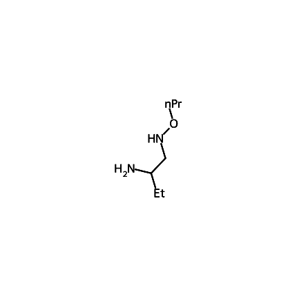 CCCONCC(N)CC